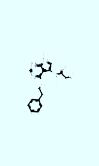 O=C(CCl)Nc1c[nH]c2ncnc(OCCc3ccccc3)c12